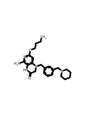 CCCCOc1cc2c(c(N)n1)NC(=O)CN2Cc1cccc(CN2CCCCC2)c1